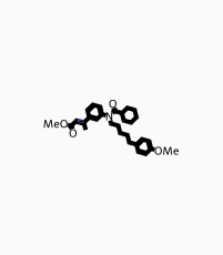 COC(=O)/C=C(\C)c1cccc(N(CCCCCc2ccc(OC)cc2)C(=O)C2CCCCC2)c1